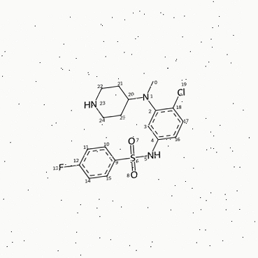 CN(c1cc(NS(=O)(=O)c2ccc(F)cc2)ccc1Cl)C1CCNCC1